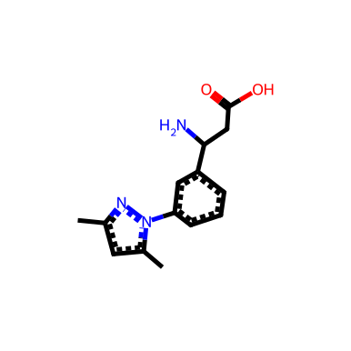 Cc1cc(C)n(-c2cccc(C(N)CC(=O)O)c2)n1